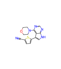 N#Cc1ccc(-c2c[nH]c3ncnc(N4CCOCC4)c23)s1